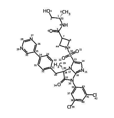 C[C@@H](CO)NC(=O)C1CN(S(=O)(=O)c2cnc3n2[C@](C)(Cc2ccc(-c4cncnc4)cc2)C(=O)N3c2cc(Cl)cc(Cl)c2)C1